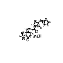 CC(C)[C@@H]1C(=O)N(S(C)(=O)=O)[C@@H]2CCN(C(=O)c3ccc(CN4CCCC4)n3C)[C@H]21.Cl